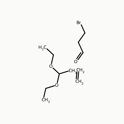 C=C.CCOC(C)OCC.O=CCCBr